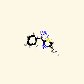 Cc1csc([C@H](N)c2ccccc2)n1